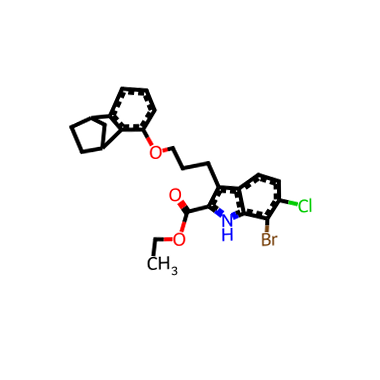 CCOC(=O)c1[nH]c2c(Br)c(Cl)ccc2c1CCCOc1cccc2c1C1CCC2C1